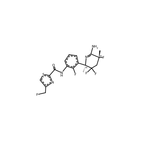 C[C@@]1(F)CC(F)(F)[C@@](C)(c2cccc(NC(=O)c3nc(CF)cs3)c2F)N=C1N